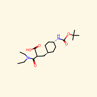 CCN(CC)C(=O)C(C[C@H]1CC[C@H](NC(=O)OC(C)(C)C)CC1)C(=O)O